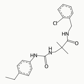 CCc1ccc(NC(=O)NCC(C)(C)C(=O)NCc2ccccc2Cl)cc1